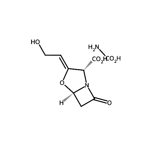 NC(=O)O.O=C(O)[C@H]1C(=CCO)O[C@@H]2CC(=O)N12